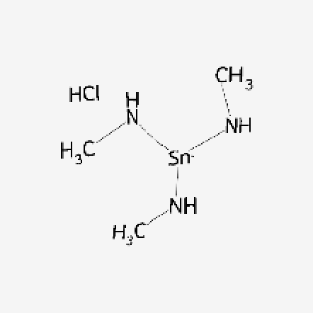 C[NH][Sn]([NH]C)[NH]C.Cl